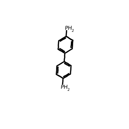 Pc1ccc(-c2ccc(P)cc2)cc1